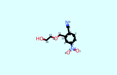 N#Cc1ccc([N+](=O)[O-])cc1COCCO